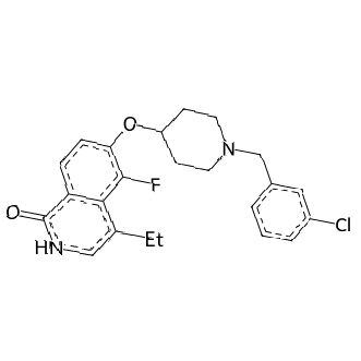 CCc1c[nH]c(=O)c2ccc(OC3CCN(Cc4cccc(Cl)c4)CC3)c(F)c12